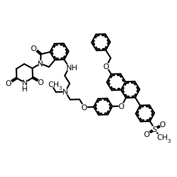 CCN(CCNc1cccc2c1CN(C1CCC(=O)NC1=O)C2=O)CCOc1ccc(Oc2c(-c3ccc(S(C)(=O)=O)cc3)ccc3cc(OCc4ccccc4)ccc23)cc1